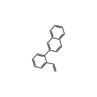 C=Cc1ccccc1-c1ccc2ccccc2c1